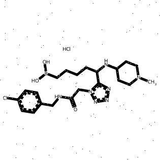 CN1CCC(NC(CCCCB(O)O)c2nnnn2CC(=O)NCc2ccc(Cl)cc2)CC1.Cl